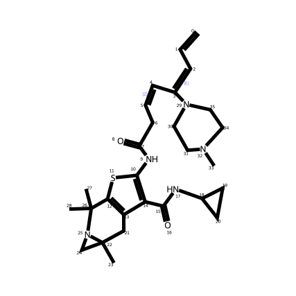 C=C/C=C(\C=C/CC(=O)Nc1sc2c(c1C(=O)NC1CC1)CC1(C)CN1C2(C)C)N1CCN(C)CC1